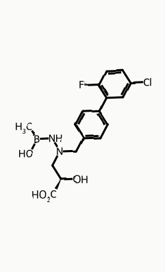 CB(O)NN(Cc1ccc(-c2cc(Cl)ccc2F)cc1)C[C@@H](O)C(=O)O